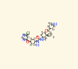 CC(Oc1ccc(NC(=O)Nc2ccc(Oc3cc(Cl)ncn3)cc2)cc1C(F)(F)F)C1CCNCC1